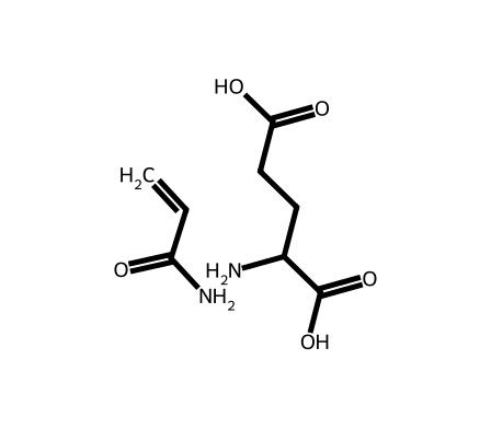 C=CC(N)=O.NC(CCC(=O)O)C(=O)O